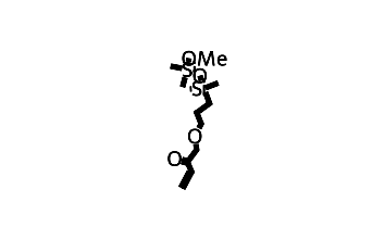 C=CC(=O)COCCC[Si](C)(C)O[Si](C)(C)OC